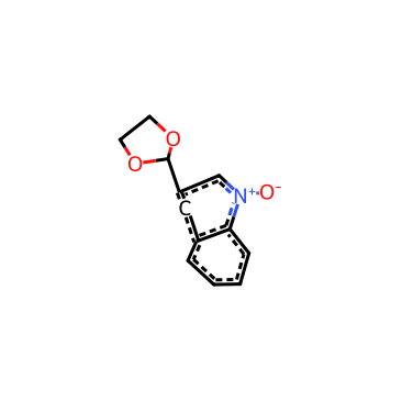 [O-][n+]1cc(C2OCCO2)cc2ccccc21